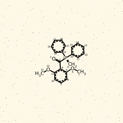 C=P(C(=O)c1c(OC)cccc1OC)(c1ccccc1)c1ccccc1